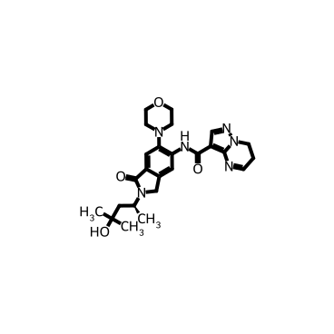 C[C@@H](CC(C)(C)O)N1Cc2cc(NC(=O)c3cnn4c3N=CCC4)c(N3CCOCC3)cc2C1=O